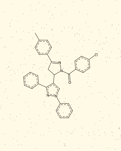 Cc1ccc(C2=NN(C(=O)c3ccc(Cl)cc3)C(c3cn(-c4ccccc4)nc3-c3ccccc3)C2)cc1